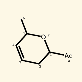 CC(=O)C1CC=CC(C)O1